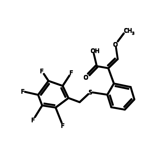 COC=C(C(=O)O)c1ccccc1SCc1c(F)c(F)c(F)c(F)c1F